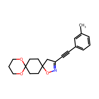 Cc1cccc(C#CC2=NOC3(CCC4(CC3)OCCCO4)C2)c1